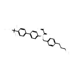 CCCCc1ccc(CN(C(=O)C(=O)O)c2ccc(-c3ccc(C(C)(C)C)cc3)cc2)cc1